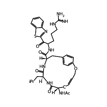 CC(=O)N[C@H]1C/C=C\COc2ccc(cc2)C[C@@H](C(=O)NC(CCCNC(=N)N)C(=O)c2nc3ccccc3s2)NC(=O)[C@H](CC(C)C)NC1=O